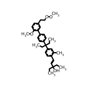 CCC(O)(/C=C/c1ccc(C(CC)(CC)c2ccc(-c3cc(CCOOC)ccc3OC)cc2)cc1C)CC